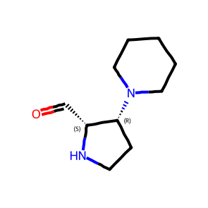 O=C[C@H]1NCC[C@H]1N1CCCCC1